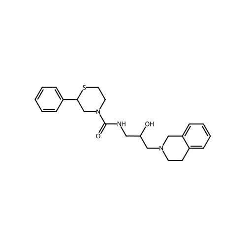 O=C(NCC(O)CN1CCc2ccccc2C1)N1CCSC(c2ccccc2)C1